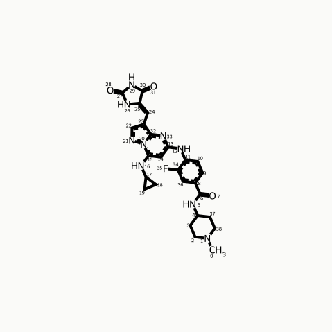 CN1CCC(NC(=O)c2ccc(Nc3cc(NC4CC4)n4ncc(/C=C5\NC(=O)NC5=O)c4n3)c(F)c2)CC1